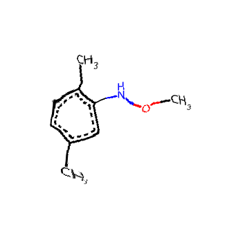 CONc1cc(C)ccc1C